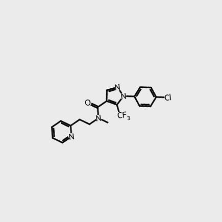 CN(CCc1ccccn1)C(=O)c1cnn(-c2ccc(Cl)cc2)c1C(F)(F)F